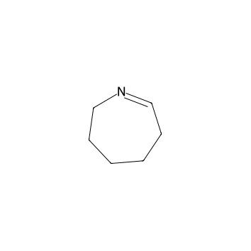 C1=NCCCCC1